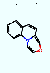 C1=CN2C(=CO1)C=Cc1ccccc12